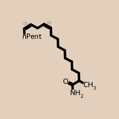 CCCCC/C=C\C/C=C\CCCCCCCCC(C)C(N)=O